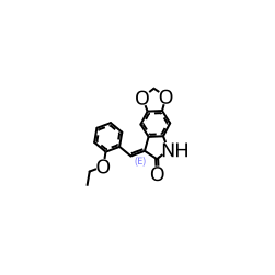 CCOc1ccccc1/C=C1/C(=O)Nc2cc3c(cc21)OCO3